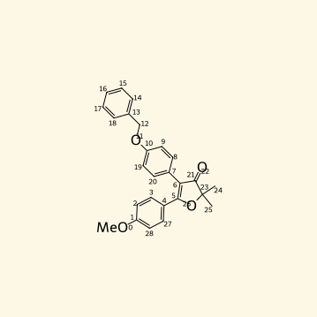 COc1ccc(C2=C(c3ccc(OCc4ccccc4)cc3)C(=O)C(C)(C)O2)cc1